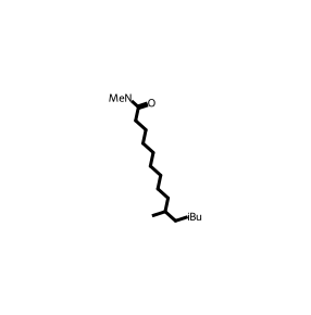 CCC(C)CC(C)CCCCCCCCC(=O)NC